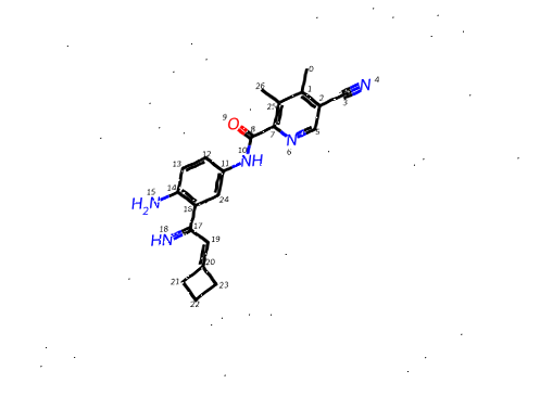 Cc1c(C#N)cnc(C(=O)Nc2ccc(N)c(C(=N)C=C3CCC3)c2)c1C